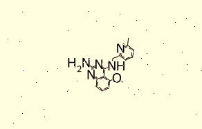 COc1cccc2nc(N)nc(NCc3cccc(C)n3)c12